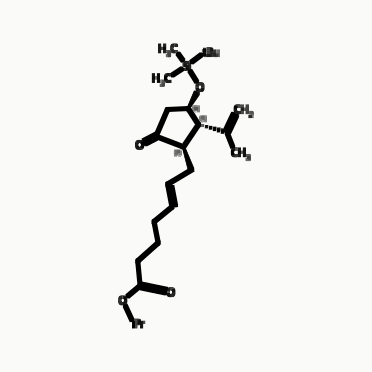 C=C(C)[C@H]1[C@H](O[Si](C)(C)C(C)(C)C)CC(=O)[C@@H]1CC=CCCCC(=O)OC(C)C